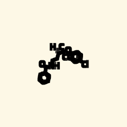 CC(CCCNC(=O)c1ccccc1)(Oc1ccc(Cl)cc1)C(=O)O